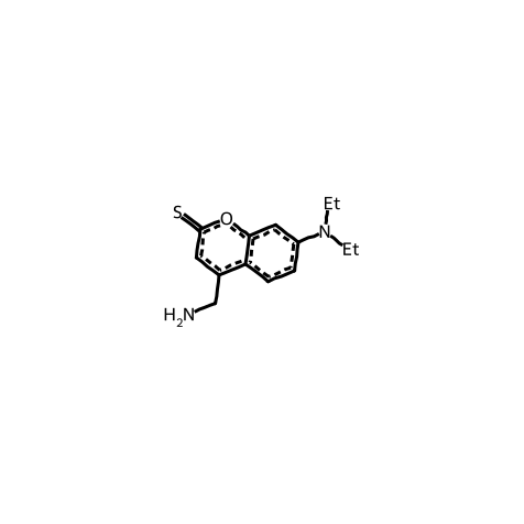 CCN(CC)c1ccc2c(CN)cc(=S)oc2c1